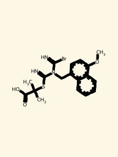 COc1ccc(CN(C(=N)Br)C(=N)SC(C)(C)C(=O)O)c2ccccc12